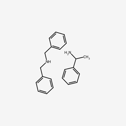 CC(N)c1ccccc1.c1ccc(CNCc2ccccc2)cc1